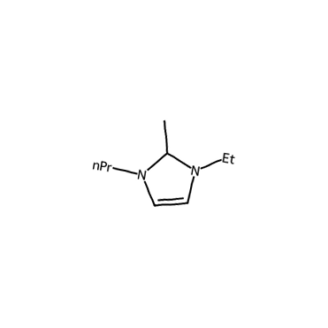 CCCN1C=CN(CC)C1C